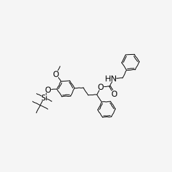 COc1cc(CCC(OC(=O)NCc2ccccc2)c2ccccc2)ccc1O[Si](C)(C)C(C)(C)C